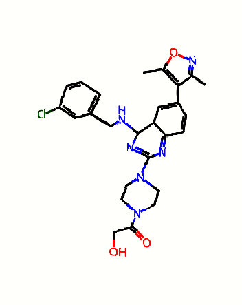 Cc1noc(C)c1C1=CC2C(=NC(N3CCN(C(=O)CO)CC3)=NC2NCc2cccc(Cl)c2)C=C1